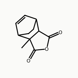 CC12C(=O)OC(=O)C1C1C=CC2CC1